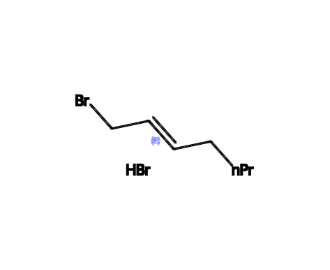 Br.CCCC/C=C/CBr